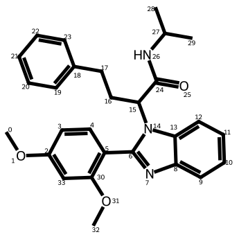 COc1ccc(-c2nc3ccccc3n2C(CCc2ccccc2)C(=O)NC(C)C)c(OC)c1